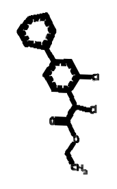 CCOC(=O)C(Cl)c1ccc(-c2ccccc2)cc1Cl